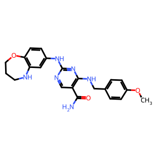 COc1ccc(CNc2nc(Nc3ccc4c(c3)NCCCO4)ncc2C(N)=O)cc1